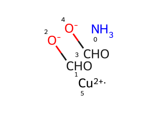 N.O=C[O-].O=C[O-].[Cu+2]